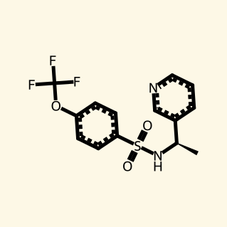 C[C@@H](NS(=O)(=O)c1ccc(OC(F)(F)F)cc1)c1cccnc1